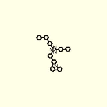 c1ccc(-c2ccc(-c3nc(-c4ccc(-c5cccc(-c6ccccc6)c5)cc4)nc(-c4cccc(-c5ccc6c(c5)c5cccc7c8ccccc8n6c75)c4)n3)cc2)cc1